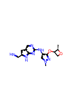 C[C@H]1OCC1Oc1nn(C)cc1Nc1ncc2cc(C=N)[nH]c2n1